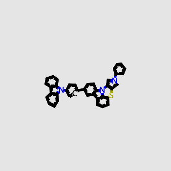 c1ccc(-n2cc3c(c2)-n2c4ccc(-c5ccc(-n6c7ccccc7c7ccccc76)cc5)cc4c4cccc(c42)S3)cc1